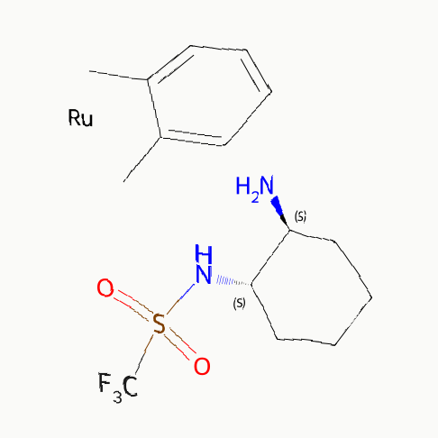 Cc1ccccc1C.N[C@H]1CCCC[C@@H]1NS(=O)(=O)C(F)(F)F.[Ru]